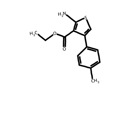 CCOC(=O)c1c(-c2ccc(C)cc2)csc1N